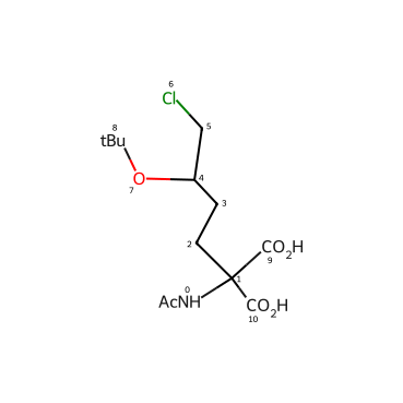 CC(=O)NC(CCC(CCl)OC(C)(C)C)(C(=O)O)C(=O)O